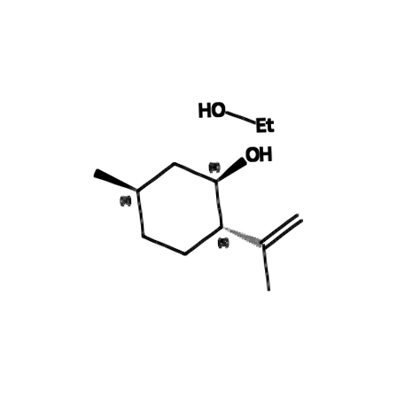 C=C(C)[C@@H]1CC[C@@H](C)C[C@H]1O.CCO